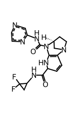 O=C(NC1CC1(F)F)C1C=CC2=C(N1)N(C(=O)Nc1cnccn1)[C@H]1CCN2C1